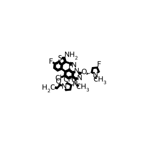 C=CC(=O)N1CC[C@@H](N(C)c2nc(OC[C@@H]3C[C@@H](F)CN3C)nc3c(F)c(-c4ccc(F)c5sc(N)c(C#N)c45)c(Cl)cc23)[C@H]1C